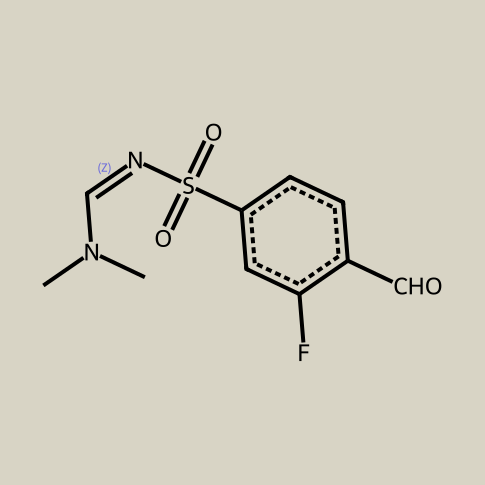 CN(C)/C=N\S(=O)(=O)c1ccc(C=O)c(F)c1